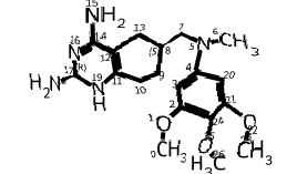 COc1cc(N(C)C[C@H]2CCC3=C(C2)C(N)=N[C@H](N)N3)cc(OC)c1OC